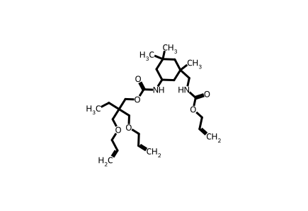 C=CCOCC(CC)(COCC=C)COC(=O)NC1CC(C)(C)CC(C)(CNC(=O)OCC=C)C1